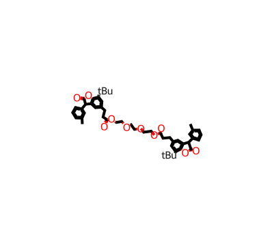 Cc1cccc(C2C(=O)Oc3c2cc(CCC(=O)OCCOCCOCCOC(=O)CCc2cc4c(c(C(C)(C)C)c2)OC(=O)C4c2cccc(C)c2)cc3C(C)(C)C)c1